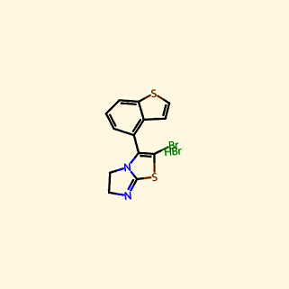 Br.BrC1=C(c2cccc3sccc23)N2CCN=C2S1